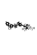 CC(C(=O)O)N(C)C(C)(C)CCc1ccc2c(ccn2-c2noc(-c3ccc(Oc4ccccc4)c(Cl)c3)n2)c1